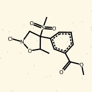 COC(=O)c1cccc(C2(S(C)(=O)=O)CN(Cl)OC2C)c1